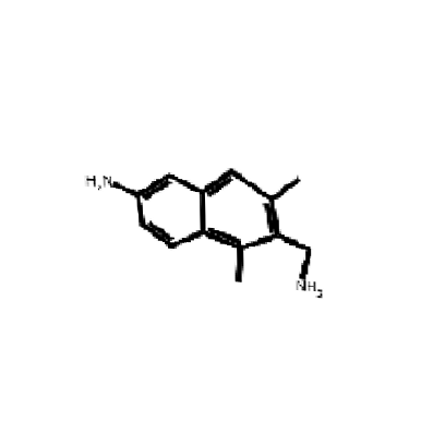 Cc1cc2cc(N)ccc2c(C)c1CN